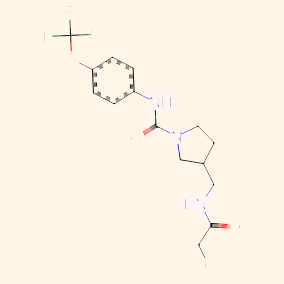 CCC(=O)NCC1CCN(C(=O)Nc2ccc(OC(F)(F)F)cc2)C1